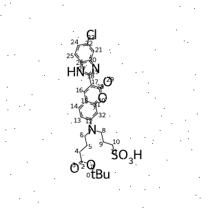 CC(C)(C)OC(=O)CCCN(CCCS(=O)(=O)O)c1ccc2cc(-c3nc4cc(Cl)ccc4[nH]3)c(=O)oc2c1